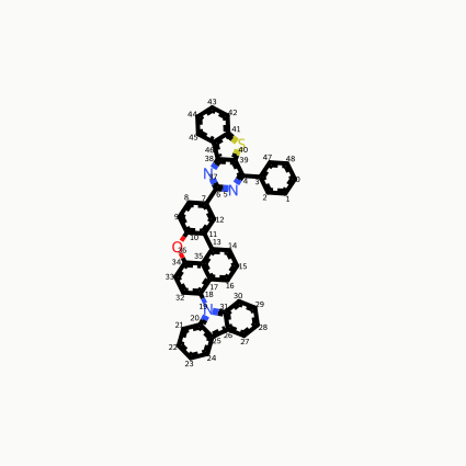 c1ccc(-c2nc(-c3ccc4c(c3)-c3cccc5c(-n6c7ccccc7c7ccccc76)ccc(c35)O4)nc3c2sc2ccccc23)cc1